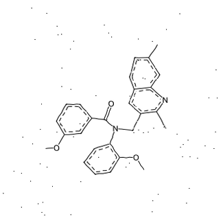 COc1cccc(C(=O)N(Cc2cc3ccc(C)cc3nc2C)c2ccccc2OC)c1